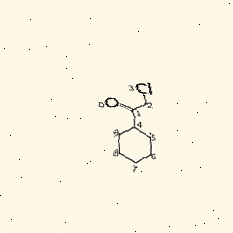 O=C(CCl)C1[CH]CCCC1